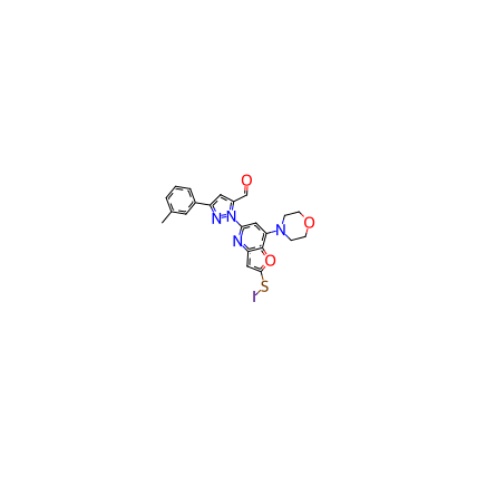 Cc1cccc(-c2cc(C=O)n(-c3cc(N4CCOCC4)c4oc(SI)cc4n3)n2)c1